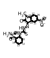 CN1C(=O)C(=NNC(=S)Nc2ccccc2S(N)(=O)=O)c2cc([N+](=O)[O-])ccc21